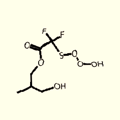 CC(CO)COC(=O)C(F)(F)SOOO